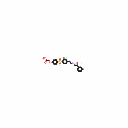 Cl.O=C(O)COc1ccc(S(=O)(=O)c2ccc(CCNCC(O)c3cccc(Cl)c3)cc2)cc1